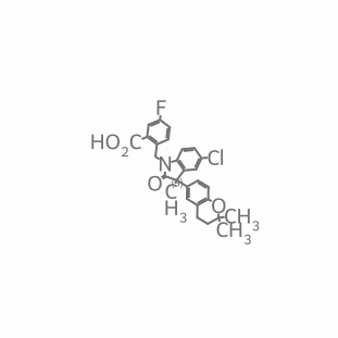 CC1(C)CCc2cc([C@]3(C)C(=O)N(Cc4ccc(F)cc4C(=O)O)c4ccc(Cl)cc43)ccc2O1